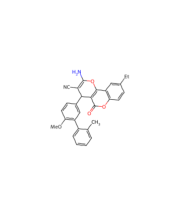 CCc1ccc2oc(=O)c3c(c2c1)OC(N)=C(C#N)C3c1ccc(OC)c(-c2ccccc2C)c1